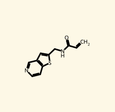 C=CC(=O)NCc1cc2cnccc2s1